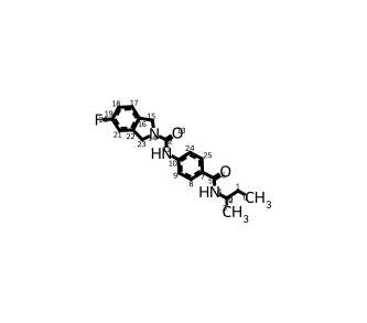 CC[C@@H](C)NC(=O)c1ccc(NC(=O)N2Cc3ccc(F)cc3C2)cc1